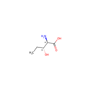 CC[C@@H](O)[C@@H](N)C(=O)O